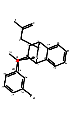 C=C(C)CC1C2CC(C(C)C)C(c3ccccc32)N1Cc1cccc(F)c1